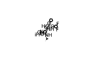 CC(C)S(=O)(=O)N(C)c1cc(C(=O)N[C@@H](COc2cc(F)cc(F)c2)[C@@H](O)COc2ccccc2)cc(NC[C@H]2C[C@@H]2C)n1